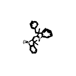 CCN1C(=CC2=[N+](C)c3ccccc3C2(C)Cc2ccccc2)C(C)(C)c2ccccc21